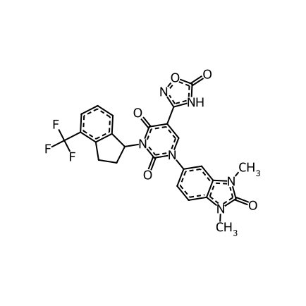 Cn1c(=O)n(C)c2cc(-n3cc(-c4noc(=O)[nH]4)c(=O)n(C4CCc5c4cccc5C(F)(F)F)c3=O)ccc21